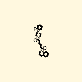 O=C(CCCCC(=O)N1CCCC2CCCCC21)N1CCN(c2ccccc2F)CC1